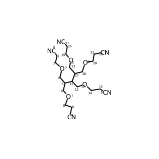 N#CCCOCC(COCCC#N)C(COCCC#N)C(COCCC#N)COCCC#N